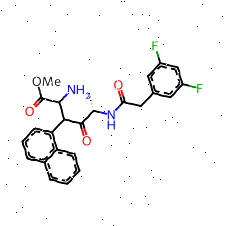 COC(=O)C(N)C(C(=O)[C@H](C)NC(=O)Cc1cc(F)cc(F)c1)c1cccc2ccccc12